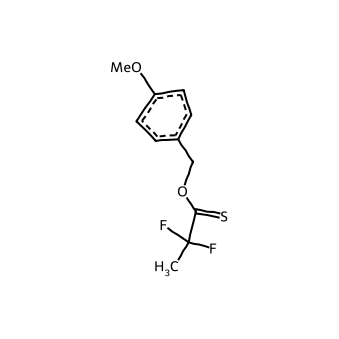 COc1ccc(COC(=S)C(C)(F)F)cc1